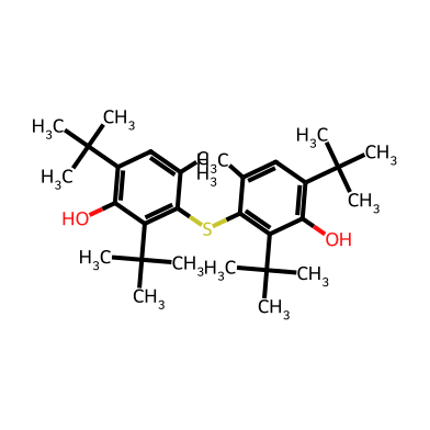 Cc1cc(C(C)(C)C)c(O)c(C(C)(C)C)c1Sc1c(C)cc(C(C)(C)C)c(O)c1C(C)(C)C